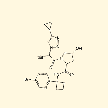 CC(C)(C)[C@@H](C(=O)N1C[C@H](O)C[C@H]1C(=O)NC1(c2ccc(Br)cn2)CCC1)n1cc(C2CC2)nn1